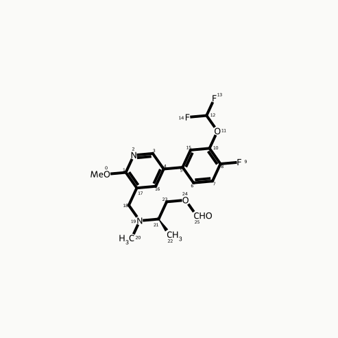 COc1ncc(-c2ccc(F)c(OC(F)F)c2)cc1CN(C)[C@H](C)COC=O